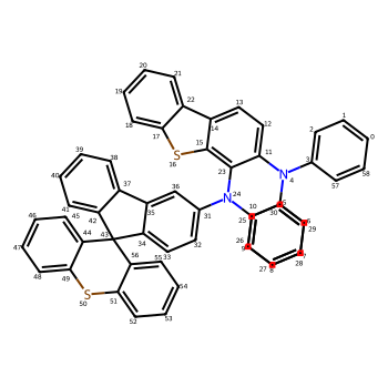 c1ccc(N(c2ccccc2)c2ccc3c(sc4ccccc43)c2N(c2ccccc2)c2ccc3c(c2)-c2ccccc2C32c3ccccc3Sc3ccccc32)cc1